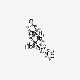 C#CC1(OC(=O)CN2CCOCC2)CC[C@H]2C3CCC4=CC(=O)CC[C@]4(C)[C@H]3CC[C@@]21C